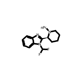 CCCN1CCCC[C@H]1c1nc2ccccc2n1C(F)F